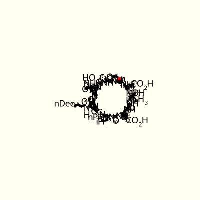 CCCCCCCCCCCCCC(=O)N[C@H]1C[C@H]2C(=O)N[C@@H](CCC(N)=O)C(=O)NC(=O)N[C@@H](CC(=O)O)C(=O)N3CCC[C@H]3C(=O)N[C@H](CCC(=O)O)C(=O)N[C@@H]([C@@H](C)O)C(=O)NC(=O)N[C@@H](CCC(=O)O)C(=O)NC(=O)N[C@H](CC(C)C)C(=O)N(CCC)CC(=O)N2C1